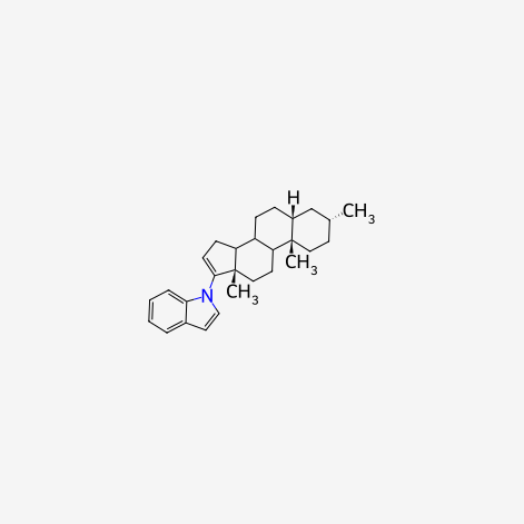 C[C@@H]1CC[C@]2(C)C3CC[C@]4(C)C(n5ccc6ccccc65)=CCC4C3CC[C@@H]2C1